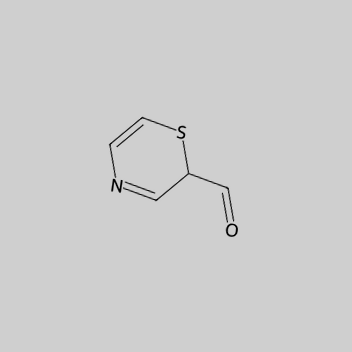 O=CC1C=NC=CS1